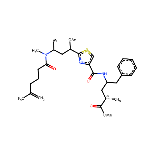 C=C(CCCC(=O)N(C)C(CC(OC(C)=O)c1nc(C(=O)NC(Cc2ccccc2)C[C@H](C)C(=O)OC)cs1)C(C)C)C(F)(F)F